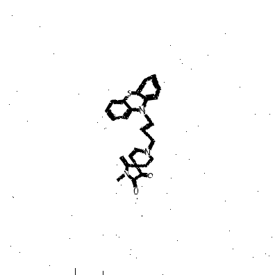 C=C1N(C)C(=O)C(=O)C12CCN(CCCN1c3ccccc3Sc3ccccc31)CC2